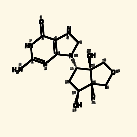 Nc1nc2c(c(=O)[nH]1)NCN2[C@H]1C[C@H](O)[C@H]2COC[C@]21O